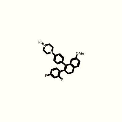 COc1ccc2c(c1)C(c1ccc(N3CCN(C(C)C)CC3)cc1)=C(c1ccc(F)cc1F)CC2